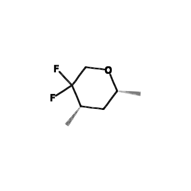 C[C@@H]1C[C@H](C)C(F)(F)CO1